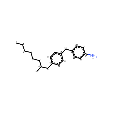 CCCCCCC(C)Cc1ccc(Cc2ccc(N)cc2)cc1